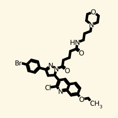 CCOc1ccc2cc(C3CC(c4ccc(Br)cc4)=NN3C(=O)CCCC(=O)NCCCN3CCOCC3)c(Cl)nc2c1